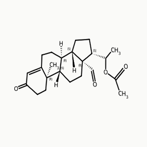 CC(=O)OC(C)[C@H]1CC[C@H]2[C@@H]3CCC4=CC(=O)CC[C@]4(C)[C@H]3CC[C@]12C=O